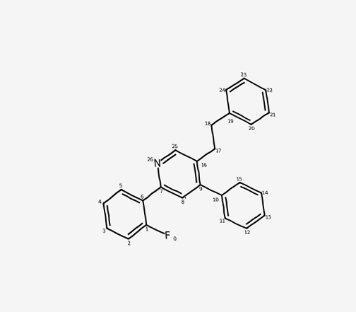 Fc1ccccc1-c1[c]c(-c2ccccc2)c(CCc2ccccc2)cn1